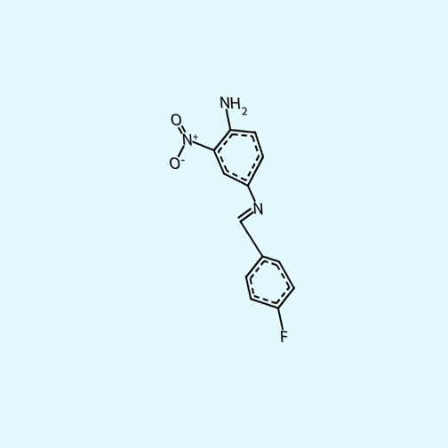 Nc1ccc(/N=C/c2ccc(F)cc2)cc1[N+](=O)[O-]